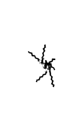 CCCCCCCCN(CCCCCCCC)CN1C(=S)N(CN(CCCCCCCC)CCCCCCCC)C(CCCC)(CCCC)C1=S